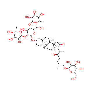 CC1O[C@@H](OC2[C@H](OC3CC[C@@]4(C)C(=CC[C@H]5[C@@H]6CC(=O)[C@H]([C@H](C)C(=O)CC[C@@H](C)CO[C@@H]7OC(CO)[C@@H](O)[C@H](O)C7O)[C@@]6(C)CC[C@@H]54)C3)OC(CO)[C@@H](O[C@@H]3OC(C)[C@H](O)[C@H](O)C3O)[C@@H]2O)C(O)[C@@H](O)[C@H]1O